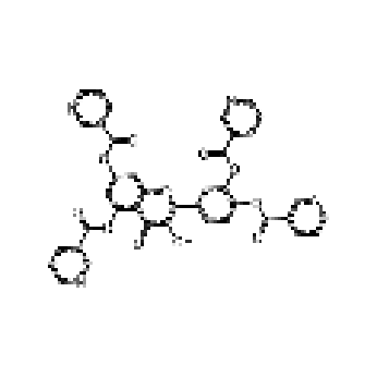 O=C(Oc1cc(OC(=O)c2cccnc2)c2c(=O)c(O)c(-c3ccc(OC(=O)c4cccnc4)c(OC(=O)c4cccnc4)c3)oc2c1)c1cccnc1